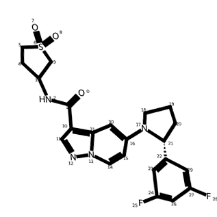 O=C(NC1CCS(=O)(=O)C1)c1cnn2ccc(N3CCC[C@@H]3c3cc(F)cc(F)c3)cc12